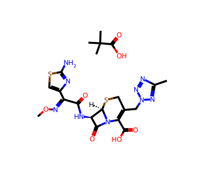 CC(C)(C)C(=O)O.CON=C(C(=O)N[C@@H]1C(=O)N2C(C(=O)O)=C(Cn3nnc(C)n3)CS[C@H]12)c1csc(N)n1